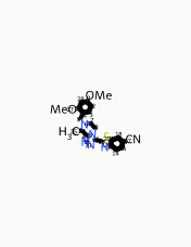 COc1ccc(CN2CCn3c(-c4nc5ccc(C#N)cc5s4)nnc3C2C)c(OC)c1